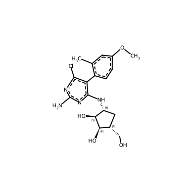 COc1ccc(-c2c(Cl)nc(N)nc2N[C@@H]2C[C@H](CO)[C@@H](O)[C@H]2O)c(C)c1